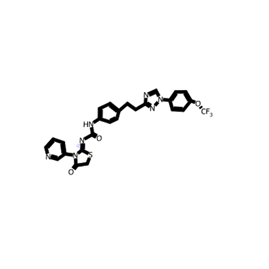 O=C(/N=C1\SCC(=O)N1c1cccnc1)Nc1ccc(CCc2ncn(-c3ccc(OC(F)(F)F)cc3)n2)cc1